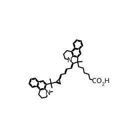 CN1CCCc2c1c(C(C)(C)C1=CC\1=C/C=C/C=C1\N3CCCc4c3c(cc3ccccc43)C1(C)CCCCCC(=O)O)cc1ccccc21